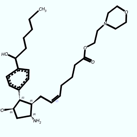 CCCCCC(O)c1ccc([C@@H]2[C@@H](C/C=C\CCCC(=O)OCCN3CCOCC3)[C@H](N)C[C@H]2O)cc1